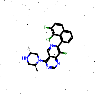 C[C@@H]1CN(c2ncnc3c(F)c(-c4cccc5ccc(F)c(Cl)c45)ncc23)[C@@H](C)CN1